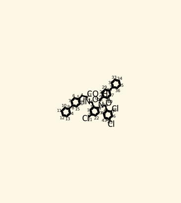 O=C(N[C@@H](Cc1ccc(-c2ccccc2)cc1)C(=O)O)c1cc(Cl)ccc1N(Cc1ccc(-c2ccccc2)cc1)C(=O)c1ccc(Cl)cc1Cl